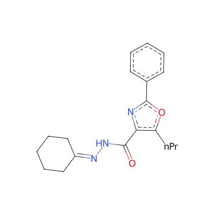 CCCc1oc(-c2ccccc2)nc1C(=O)NN=C1CCCCC1